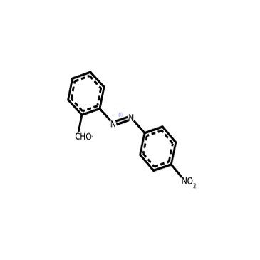 O=[C]c1ccccc1/N=N/c1ccc([N+](=O)[O-])cc1